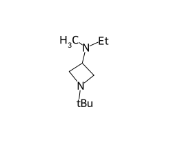 CCN(C)C1CN(C(C)(C)C)C1